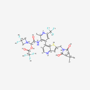 Cc1nc(C(F)(F)F)cc(-c2ccnc3cc(CN4C(=O)C5C(C4=O)C5(C)C)sc23)c1NC(=O)C(OC(=O)C(F)(F)F)N1CC(F)(F)C1